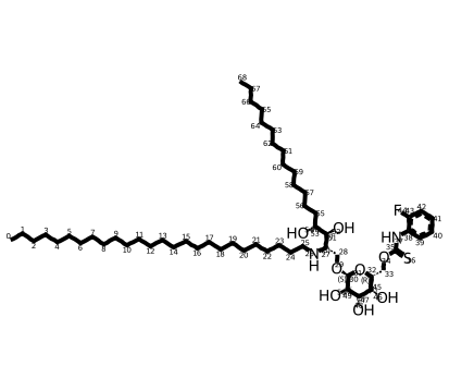 CCCCCCCCCCCCCCCCCCCCCCCCCCN[C@@H](CO[C@H]1O[C@H](COC(=S)Nc2ccccc2F)[C@H](O)[C@H](O)[C@H]1O)[C@H](O)[C@H](O)CCCCCCCCCCCCCC